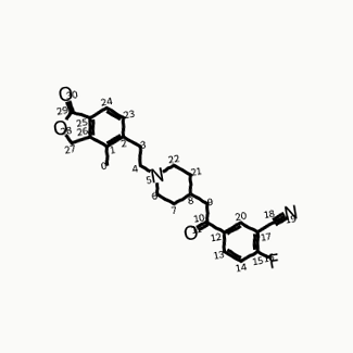 Cc1c(CCN2CCC(CC(=O)c3ccc(F)c(C#N)c3)CC2)ccc2c1COC2=O